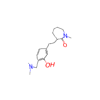 CN(C)Cc1ccc(CCC2CCCCN(C)C2=O)cc1O